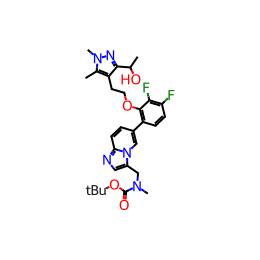 Cc1c(CCOc2c(-c3ccc4ncc(CN(C)C(=O)OC(C)(C)C)n4c3)ccc(F)c2F)c(C(C)O)nn1C